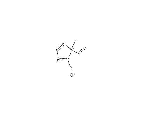 C=C[N+]1(C)C=CN=C1C.[Cl-]